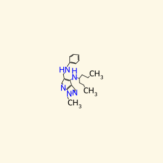 CCCC(CCC)Nc1c(CNCc2ccccc2)cnc2c1cnn2CC